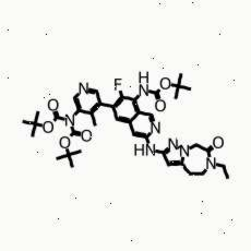 CCN1CCc2cc(Nc3cc4cc(-c5cncc(N(C(=O)OC(C)(C)C)C(=O)OC(C)(C)C)c5C)c(F)c(NC(=O)OC(C)(C)C)c4cn3)nn2CC1=O